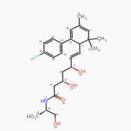 CC1=CC(C)(C)C(C=C[C@@H](O)C[C@@H](O)CC(=O)N[C@@H](CO)C(=O)O)C(c2ccc(F)cc2)=C1